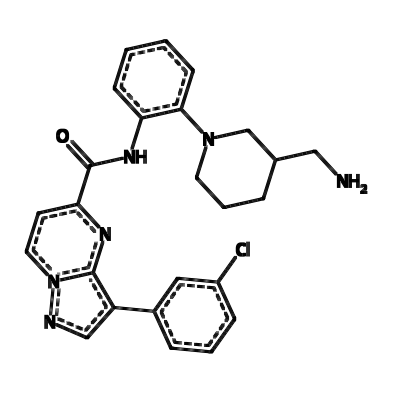 NCC1CCCN(c2ccccc2NC(=O)c2ccn3ncc(-c4cccc(Cl)c4)c3n2)C1